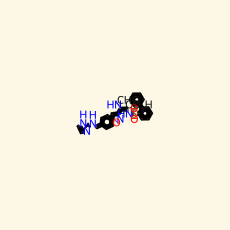 O=CNC(C1=NOC2(CCC(CNc3ncc[nH]3)CC2)C1)[C@H](NS(=O)(=O)c1ccccc1-c1ccccc1)C(=O)O